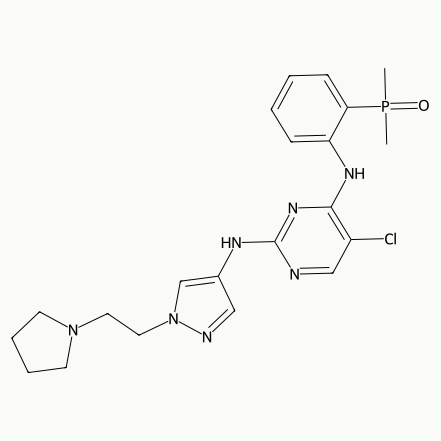 CP(C)(=O)c1ccccc1Nc1nc(Nc2cnn(CCN3CCCC3)c2)ncc1Cl